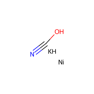 N#CO.[KH].[Ni]